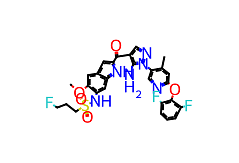 COc1cc2cc(C(=O)c3cnn(-c4cnc(Oc5c(F)cccc5F)cc4C)c3N)[nH]c2cc1NS(=O)(=O)CCCF